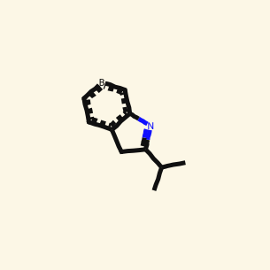 CC(C)C1=Nc2cbccc2C1